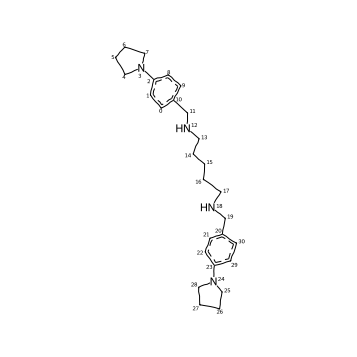 c1cc(N2CCCC2)ccc1CNCCCCCNCc1ccc(N2CCCC2)cc1